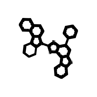 C1=Cc2c(n(-c3nc4c(-c5ccccc5)cc5sc6ccccc6c5c4s3)c3ccc4ccccc4c23)CC1